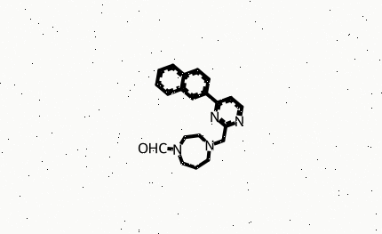 O=CN1CCCN(Cc2nccc(-c3ccc4ccccc4c3)n2)CC1